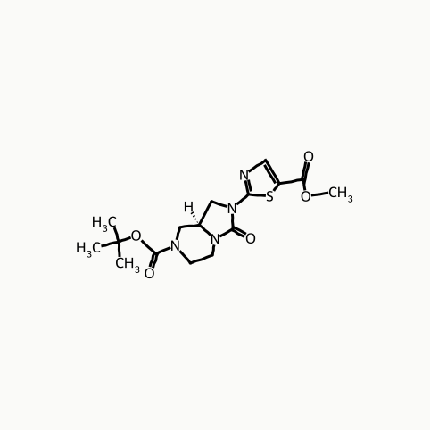 COC(=O)c1cnc(N2C[C@@H]3CN(C(=O)OC(C)(C)C)CCN3C2=O)s1